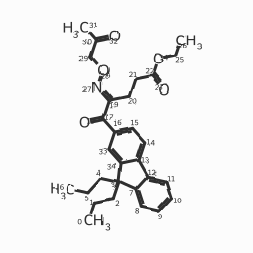 CCCC1(CCC)c2ccccc2-c2ccc(C(=O)/C(CCC(=O)OCC)=N/OCC(C)=O)cc21